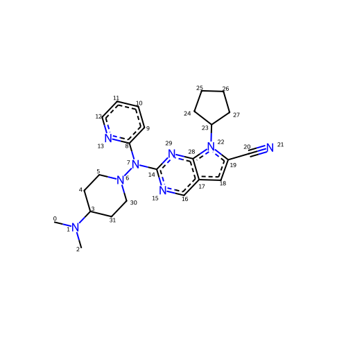 CN(C)C1CCN(N(c2ccccn2)c2ncc3cc(C#N)n(C4CCCC4)c3n2)CC1